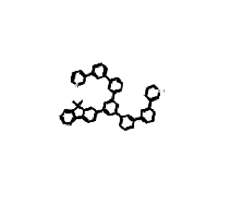 CC1(C)c2ccccc2-c2ccc(-c3cc(-c4cccc(-c5cccc(C6=CNCC=C6)c5)c4)cc(-c4cccc(-c5cccc(-c6cccnc6)c5)c4)c3)cc21